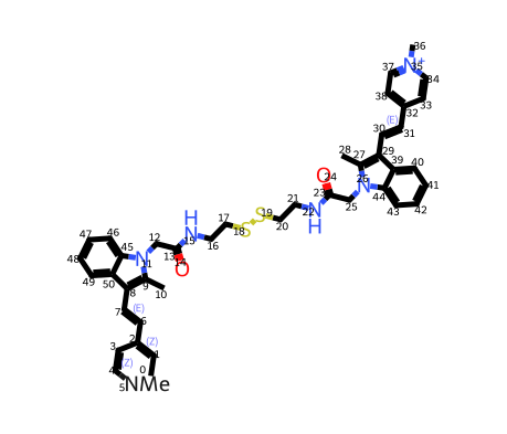 C/C=C(\C=C/NC)/C=C/c1c(C)n(CC(=O)NCCSSCCNC(=O)Cn2c(C)c(/C=C/c3cc[n+](C)cc3)c3ccccc32)c2ccccc12